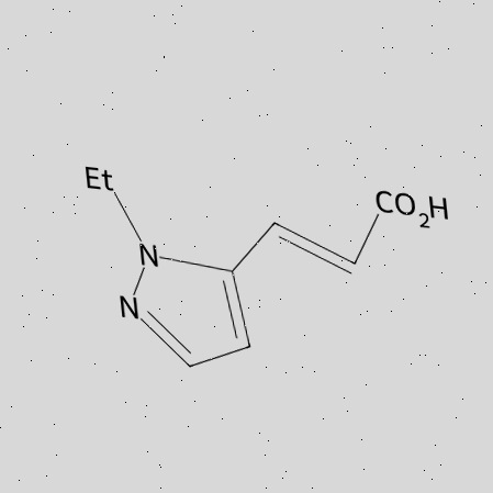 CCn1nccc1C=CC(=O)O